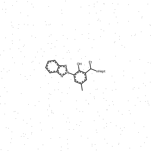 CCCCCCCC(CC)c1cc(C)cc(-n2nc3ccccc3n2)c1O